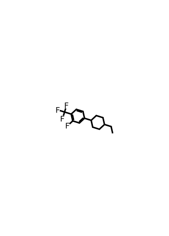 CCC1CCC(c2ccc(C(F)(F)F)c(F)c2)CC1